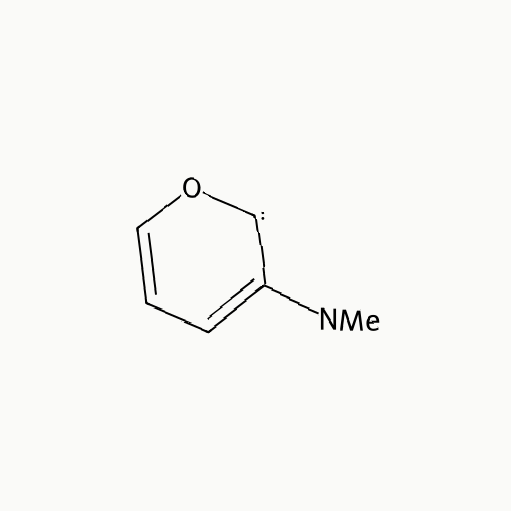 CNC1=CC=CO[C]1